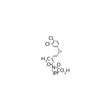 CC(C=CC1CC1c1ccc(Cl)c(Cl)c1)=CC(=O)N(CC(C)C)C(=O)C(=O)O